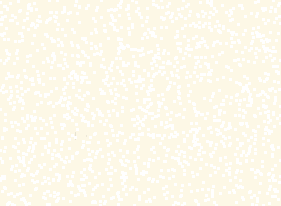 CCc1ccc(Cl)c(CO)c1